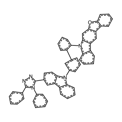 c1ccc(-c2nnc(-c3ccc4c(c3)c3ccccc3n4-c3cccc(-c4ccccc4-n4c5ccccc5c5cc6c(cc54)oc4ccccc46)c3)n2-c2ccccc2)cc1